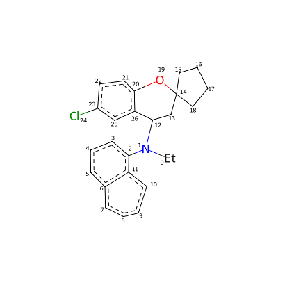 CCN(c1cccc2ccccc12)C1CC2(CCCC2)Oc2ccc(Cl)cc21